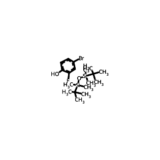 CC(C)(C)[Si](C)(C)O[Si](C)(C)C(C)(C)C.Oc1ccc(Br)cc1F